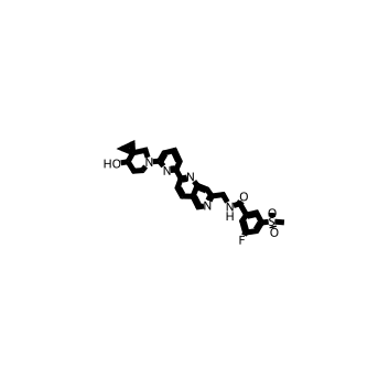 CS(=O)(=O)c1cc(F)cc(C(=O)NCc2cc3nc(-c4cccc(N5CCC(O)C6(CC6)C5)n4)ccc3cn2)c1